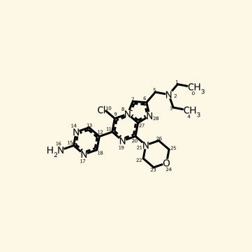 CCN(CC)Cc1cn2c(Cl)c(-c3cnc(N)nc3)nc(N3CCOCC3)c2n1